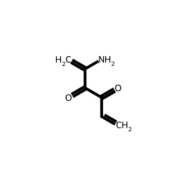 C=CC(=O)C(=O)C(=C)N